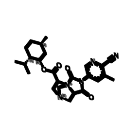 Cc1cc(N2C(=O)C3C[N@@]4CC(C(=O)O[C@@H]5C[C@H](C)CC[C@H]5C(C)C)[N+]3(C4)C2=O)cnc1C#N